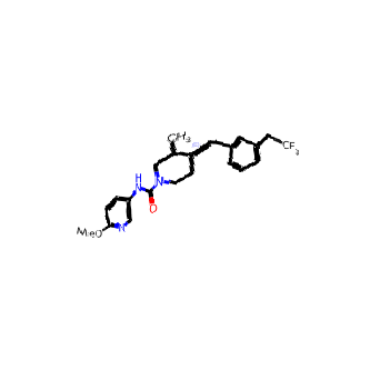 COc1ccc(NC(=O)N2CC/C(=C\c3cccc(CC(F)(F)F)c3)C(C)C2)cn1